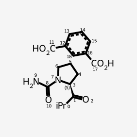 CC(C)C(=O)[C@@H]1CCCN1C(N)=O.O=C(O)c1cccc(C(=O)O)c1